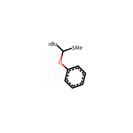 CCCCC(Oc1ccccc1)SC